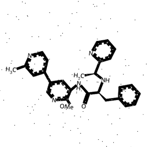 COc1ncc(-c2ccnc(C)c2)cc1NC(=O)[C@H](Cc1ccccc1)N[C@@H](C)c1ccccn1